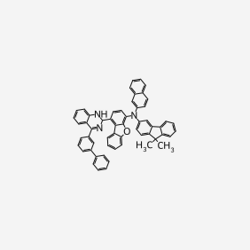 CC1(C)c2ccccc2-c2cc(N(c3ccc4ccccc4c3)c3ccc(C4N=C(c5cccc(-c6ccccc6)c5)c5ccccc5N4)c4c3oc3ccccc34)ccc21